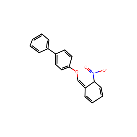 O=[N+]([O-])C1C=CC=CC1=COc1ccc(-c2ccccc2)cc1